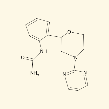 NC(=O)Nc1ccccc1C1CN(c2ncccn2)CCO1